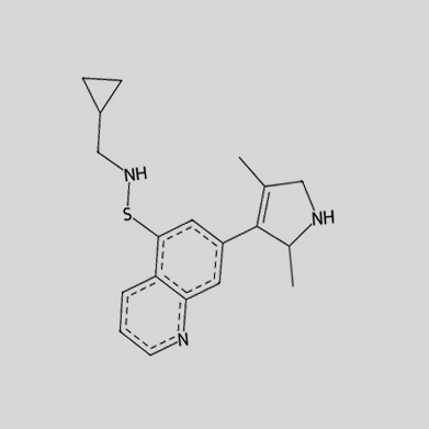 CC1=C(c2cc(SNCC3CC3)c3cccnc3c2)C(C)NC1